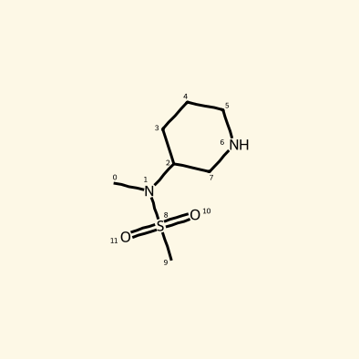 CN(C1CCCNC1)S(C)(=O)=O